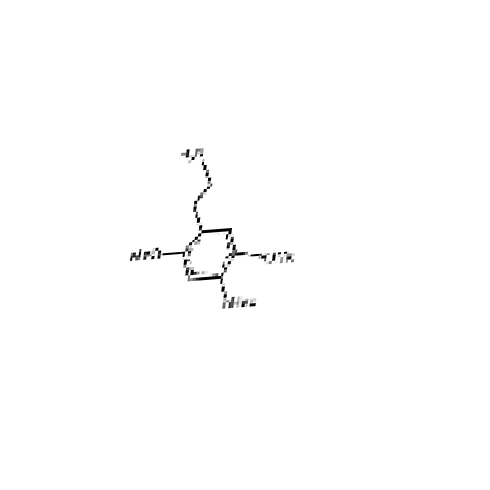 CCCCCCc1cc(OC)c(CCN)cc1OC